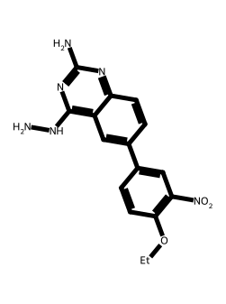 CCOc1ccc(-c2ccc3nc(N)nc(NN)c3c2)cc1[N+](=O)[O-]